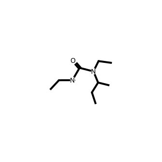 CC[N]C(=O)N(CC)C(C)CC